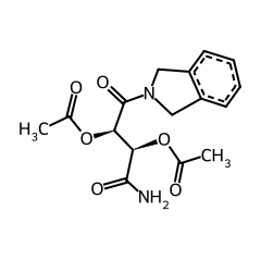 CC(=O)O[C@@H](C(N)=O)[C@@H](OC(C)=O)C(=O)N1Cc2ccccc2C1